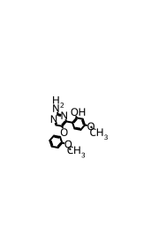 COc1ccc(-c2nc(N)ncc2Oc2ccccc2OC)c(O)c1